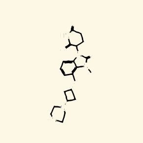 Cn1c(=O)n(C2CCC(=O)NC2=O)c2cccc(C[C@H]3C[C@H](N4CCNCC4)C3)c21